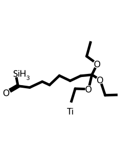 CCOC(CCCCCCC(=O)[SiH3])(OCC)OCC.[Ti]